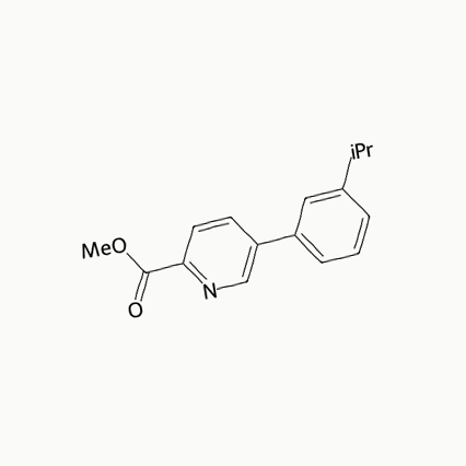 COC(=O)c1ccc(-c2cccc(C(C)C)c2)cn1